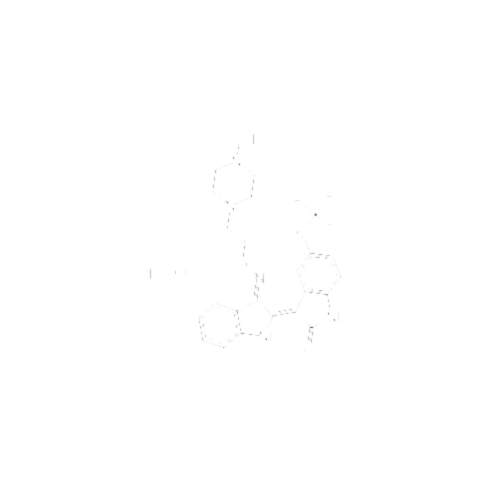 CN1CCN(CCO/N=C2/C(=C3/C(=O)Nc4ccc(OC(F)(F)F)cc43)Nc3ccccc32)CC1.Cl.Cl